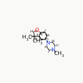 CN1CCN(c2ccc3c(c2)C(C)(C)CO3)CC1